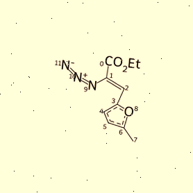 CCOC(=O)/C(=C/c1ccc(C)o1)N=[N+]=[N-]